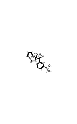 CCCC[S+]([O-])c1cccc(C(=O)C2(C(=O)O)CCn3cccc32)c1